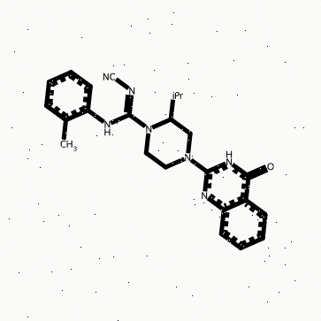 Cc1ccccc1N/C(=N\C#N)N1CCN(c2nc3ccccc3c(=O)[nH]2)CC1C(C)C